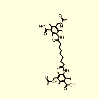 CC(=O)NCc1c(I)c(NC(=O)CCCCCCCC(=O)Nc2c(I)c(CNC(C)=O)c(I)c(C(=O)O)c2I)c(I)c(C(=O)O)c1I